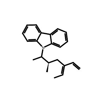 C=C/C(=C/C)C[C@@H](C)C(C)n1c2ccccc2c2ccccc21